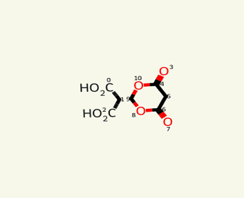 O=C(O)CC(=O)O.O=C1CC(=O)OCO1